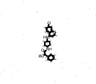 CCC(C)C(C(=O)NC1CCC(Nc2ccnc3cc(Cl)ccc23)CC1)c1ccccc1